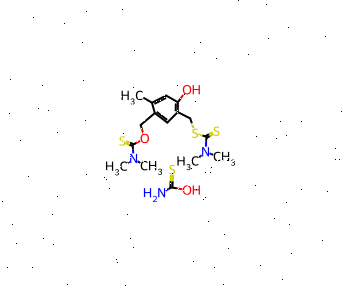 Cc1cc(O)c(CSC(=S)N(C)C)cc1COC(=S)N(C)C.NC(O)=S